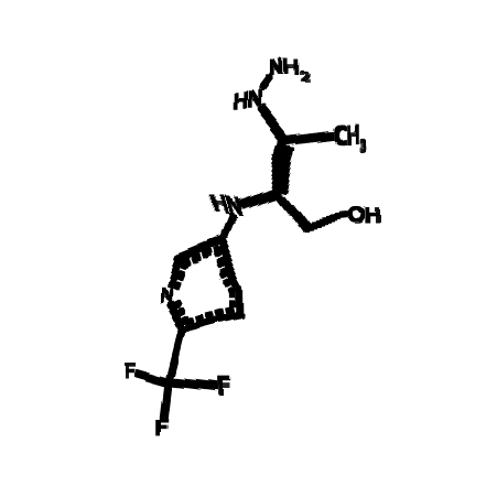 C/C(NN)=C(\CO)Nc1ccc(C(F)(F)F)nc1